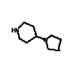 [CH]1CCN(C2CCNCC2)C1